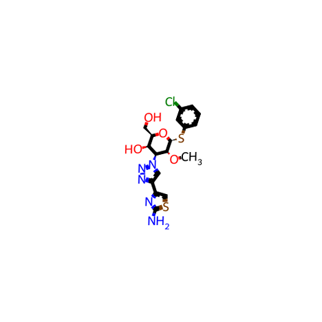 CO[C@@H]1[C@@H](n2cc(-c3csc(N)n3)nn2)[C@@H](O)[C@@H](CO)O[C@@H]1Sc1cccc(Cl)c1